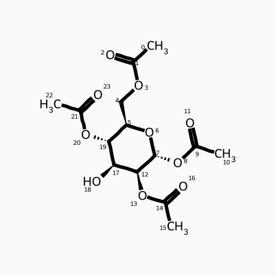 CC(=O)OC[C@H]1O[C@H](OC(C)=O)[C@@H](OC(C)=O)[C@@H](O)[C@@H]1OC(C)=O